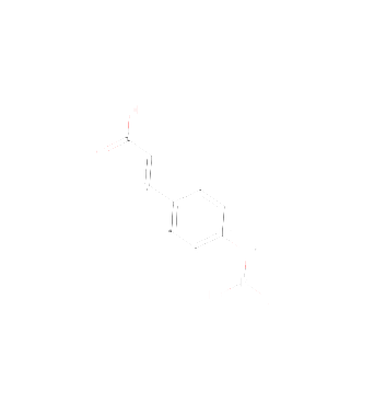 O=C(O)/C=C/c1ccc(OB(O)O)cc1